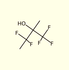 CC(F)(F)C(C)(O)C(F)(F)F